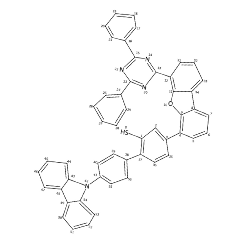 Sc1cc(-c2cccc3c2oc2c(-c4nc(-c5ccccc5)nc(-c5ccccc5)n4)cccc23)ccc1-c1ccc(-n2c3ccccc3c3ccccc32)cc1